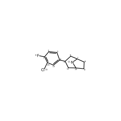 Fc1ccc(C2CC3CCC(C2)[N]3)cc1Cl